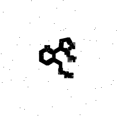 CC(=O)SCc1cccnc1-c1ccnn1C(C)C